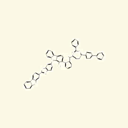 Cc1c(-c2ccccc2C(C)C2=CCC(c3ccc(-c4ccccc4)cc3)=NC(c3ccccc3)=N2)ccc2c3ccccc3n(-c3ccc4nc(-c5ccc6c(c5)oc5ccccc56)oc4c3)c12